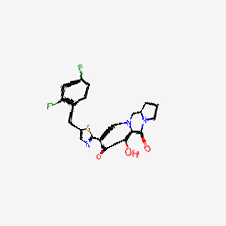 O=C1c2c(O)c(=O)c(-c3ncc(Cc4ccc(F)cc4F)s3)cn2CC2CCCN12